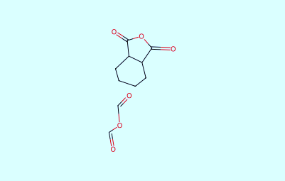 O=C1OC(=O)C2CCCCC12.O=COC=O